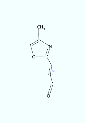 Cc1coc(/C=C/C=O)n1